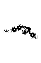 COc1ccc(-c2ccc(COCC3COC(CCc4ccc(Cl)cc4)(Cn4ccnc4)O3)cc2)cc1